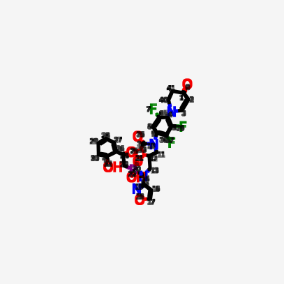 O=C1C=CN(c2c(F)cc(N3CC(CN(c4ccon4)P(=O)(O)CC(=O)c4ccccc4O)OC3=O)c(F)c2F)CC1